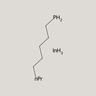 CCCCCCCCP.[InH3]